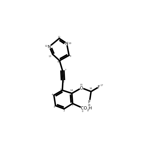 O=C(O)c1cccc(C#Cc2cncnc2)c1OC(F)F